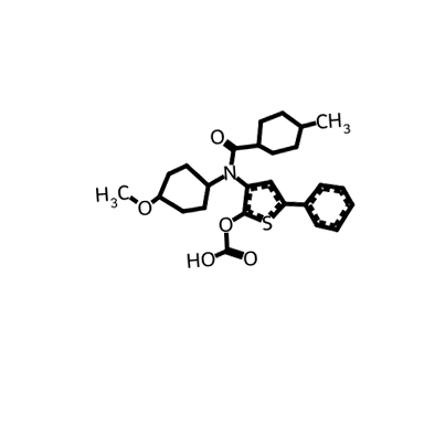 COC1CCC(N(C(=O)C2CCC(C)CC2)c2cc(-c3ccccc3)sc2OC(=O)O)CC1